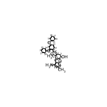 CC(=C(CCO)SC(=O)c1ccc(Oc2ccccc2)cc1Oc1ccccc1)N(C=O)Cc1cnc(C)nc1N